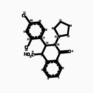 O=C(O)C1c2ccccc2C(=O)N(N2CCCC2)C1c1ccc(Cl)cc1Cl